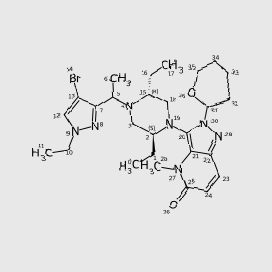 CC[C@H]1CN(C(C)c2nn(CC)cc2Br)[C@H](CC)CN1c1c2c(ccc(=O)n2C)nn1C1CCCCO1